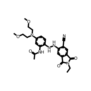 CCN1C(=O)c2cc(C#N)c(NNc3ccc(N(CCOC)CCOC)cc3NC(C)=O)cc2C1=O